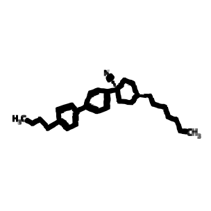 CCCCCCC[C@H]1CC[C@@](C#N)(c2ccc(-c3ccc(CCCC)cc3)cc2)CC1